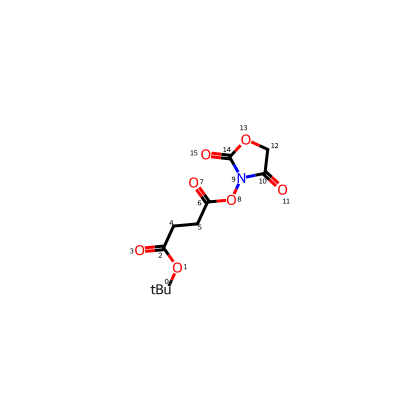 CC(C)(C)OC(=O)CCC(=O)ON1C(=O)COC1=O